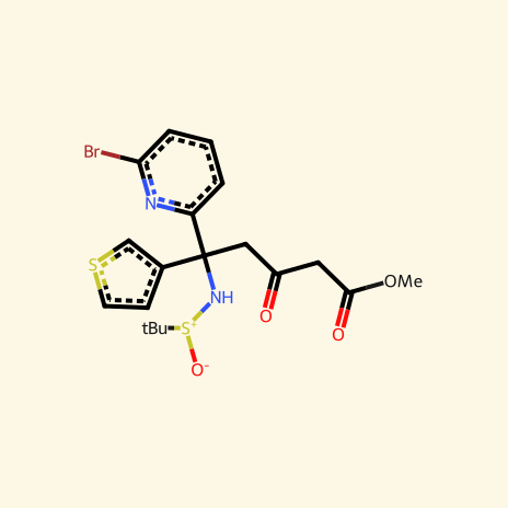 COC(=O)CC(=O)CC(N[S+]([O-])C(C)(C)C)(c1ccsc1)c1cccc(Br)n1